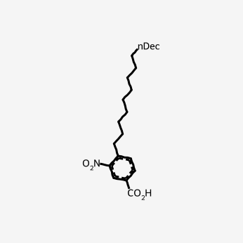 CCCCCCCCCCCCCCCCCCCc1ccc(C(=O)O)cc1[N+](=O)[O-]